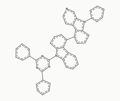 c1ccc(-c2nc(-c3ccccc3)nc(-n3c4ccccc4c4c(-c5cccc6c5c5ccncc5n6-c5ccccc5)cccc43)n2)cc1